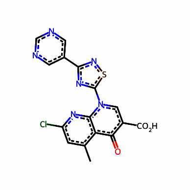 Cc1cc(Cl)nc2c1c(=O)c(C(=O)O)cn2-c1nc(-c2cncnc2)ns1